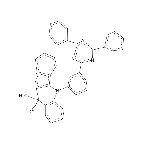 CC1(C)c2ccccc2N(c2cccc(-c3nc(-c4ccccc4)nc(-c4ccccc4)n3)c2)c2c1oc1ccccc21